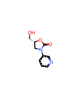 O=C1O[C@@H](CO)CN1c1cccnc1